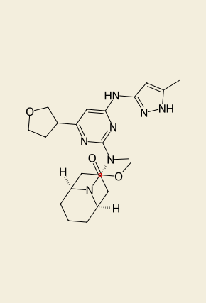 COC(=O)N1[C@@H]2CCC[C@H]1C[C@H](N(C)c1nc(Nc3cc(C)[nH]n3)cc(C3CCOC3)n1)C2